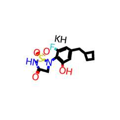 O=C1CN(c2c(O)cc(CC3CCC3)cc2F)S(=O)(=O)N1.[KH]